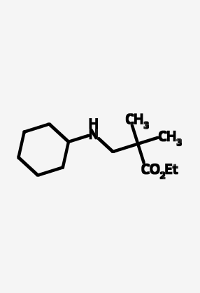 CCOC(=O)C(C)(C)CNC1CCCCC1